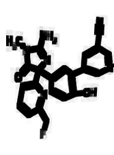 CN1C(=O)C(c2ccc(O)c(-c3cncc(C#N)c3)c2)(c2cccc(CF)n2)N=C1N